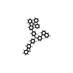 c1ccc(C2(c3ccccc3)c3ccccc3-c3ccc(-c4ccc(N(c5ccc(-c6ccc7c(c6)sc6ccccc67)cc5)c5cccc(-c6cccc7ccccc67)c5)cc4)cc32)cc1